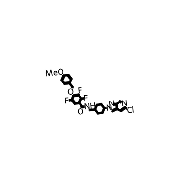 COc1ccc(COc2c(F)cc(C(=O)NCC3CCC(n4cc5cc(Cl)ncc5n4)CC3)c(F)c2F)cc1